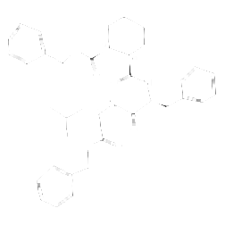 CC(C)C[C@H](NC(=O)[C@H](Cc1ccccc1)NC(=O)[C@@H]1CCCC[C@@H]1C(=O)OCc1ccccc1)C(=O)OCc1ccccc1